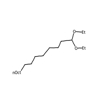 CC[CH]CCCCCCCCCCCCC(OCC)OCC